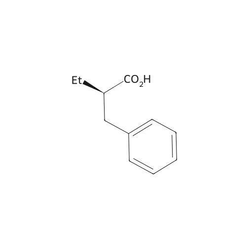 CC[C@H](Cc1ccccc1)C(=O)O